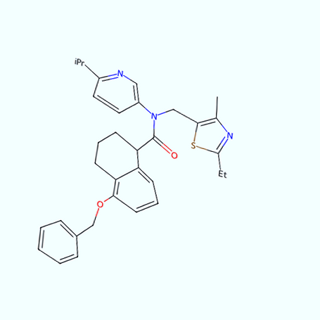 CCc1nc(C)c(CN(C(=O)C2CCCc3c(OCc4ccccc4)cccc32)c2ccc(C(C)C)nc2)s1